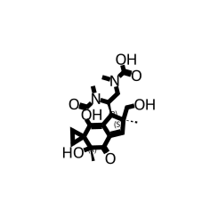 CC1=C2C(=C[C@](C)(CO)[C@@H]2C(CN(C)C(=O)O)N(C)C(=O)O)C(=O)[C@](C)(O)C12CC2